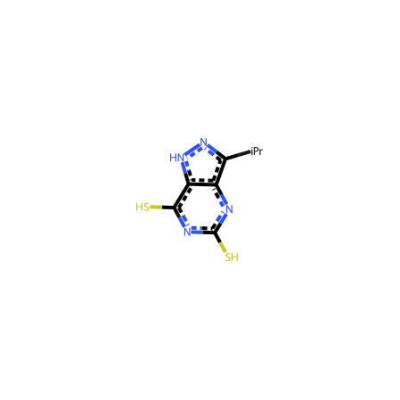 CC(C)c1n[nH]c2c(S)nc(S)nc12